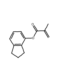 C=C(C)C(=O)Oc1cccc2c1CCC2